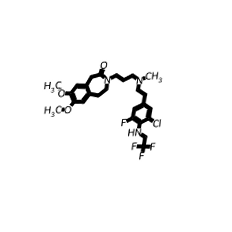 COc1cc2c(cc1OC)CC(=O)N(CCCN(C)CCc1cc(F)c(NCC(F)(F)F)c(Cl)c1)CC2